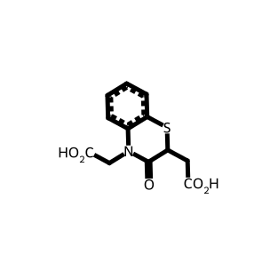 O=C(O)CC1Sc2ccccc2N(CC(=O)O)C1=O